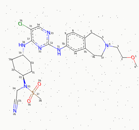 COCCN1CCc2ccc(Nc3ncc(Cl)c(N[C@H]4CC[C@H](N(CC#N)S(C)(=O)=O)CC4)n3)cc2CC1